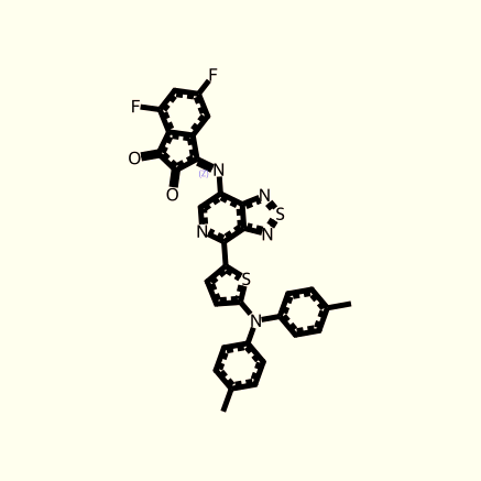 Cc1ccc(N(c2ccc(C)cc2)c2ccc(-c3ncc(/N=c4\c(=O)c(=O)c5c(F)cc(F)cc45)c4nsnc34)s2)cc1